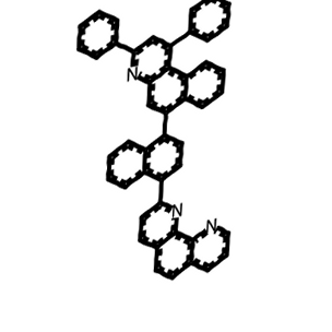 c1ccc(-c2cc(-c3ccccc3)c3c(cc(-c4ccc(-c5ccc6ccc7cccnc7c6n5)c5ccccc45)c4ccccc43)n2)cc1